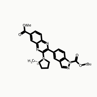 COC(=O)c1ccc2nc(-c3ccc4c(cnn4C(=O)OC(C)(C)C)c3)c(N3CCC[C@@H]3C)nc2c1